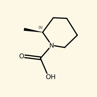 C[C@H]1CCCCN1C(=O)O